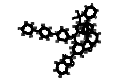 CC1(C)c2ccccc2-c2ccc(N(c3ccc(-c4ccc(-c5ccccc5)cc4)cc3)c3cc(-c4nc5ccccc5o4)cc4oc5ccc6ccccc6c5c34)cc21